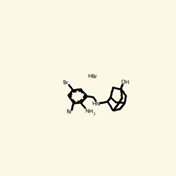 Br.Nc1c(Br)cc(Br)cc1CNC1C2CC3CC1CC(O)(C3)C2